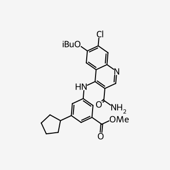 COC(=O)c1cc(Nc2c(C(N)=O)cnc3cc(Cl)c(OCC(C)C)cc23)cc(C2CCCC2)c1